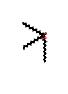 CCCCCCCCCCCC[O][V](=[O])(=[O])([CH2]CCCCCCCCCCC)[CH2]CCCCCCCCCCC